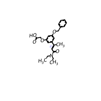 CCN(CC)C(=O)/C=C(\C)c1cc(OCC(=O)O)cc(OCc2ccccc2)c1